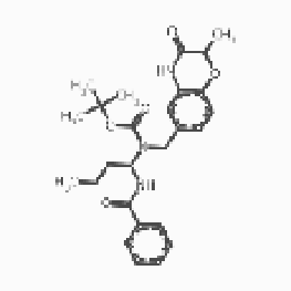 CCCC(NC(=O)c1ccccc1)N(Cc1ccc2c(c1)NC(=O)C(C)O2)C(=O)OC(C)(C)C